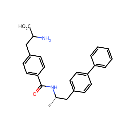 C[C@@H](Cc1ccc(-c2ccccc2)cc1)NC(=O)c1ccc(CC(N)C(=O)O)cc1